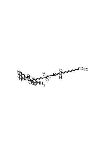 CCCCCCCCCCCCCCCCCCCC(=O)NCCOCCOCC(=O)NCCCCC(CC(=O)C(C)(C)NC(=O)[C@@H](N)Cc1cnc[nH]1)C(N)=O